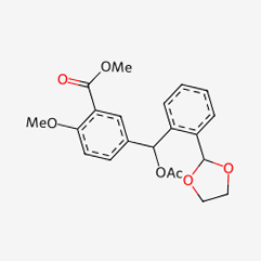 COC(=O)c1cc(C(OC(C)=O)c2ccccc2C2OCCO2)ccc1OC